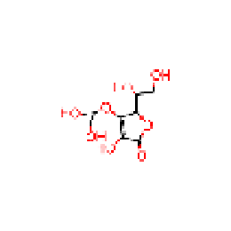 O=C1O[C@H]([C@@H](O)CO)C(OB(O)O)=C1O